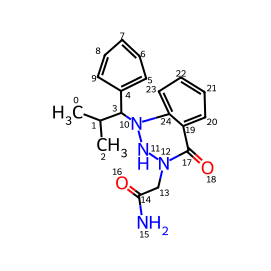 CC(C)C(c1ccccc1)N1NN(CC(N)=O)C(=O)c2ccccc21